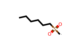 [CH2]S(=O)(=O)CCCCCC